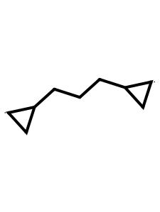 [CH]1CC1CCCC1[CH]C1